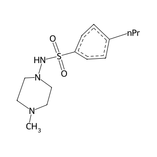 CCCc1ccc(S(=O)(=O)NN2CCN(C)CC2)cc1